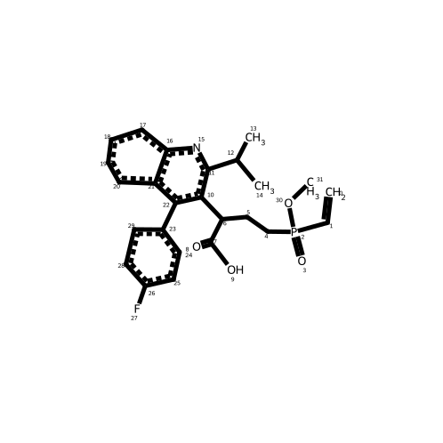 C=CP(=O)(CCC(C(=O)O)c1c(C(C)C)nc2ccccc2c1-c1ccc(F)cc1)OC